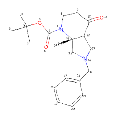 CC(C)(C)OC(=O)N1CCC(=O)C2CN(Cc3ccccc3)C[C@@H]21